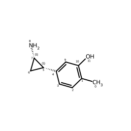 Cc1ccc([C@@H]2C[C@@H]2N)cc1O